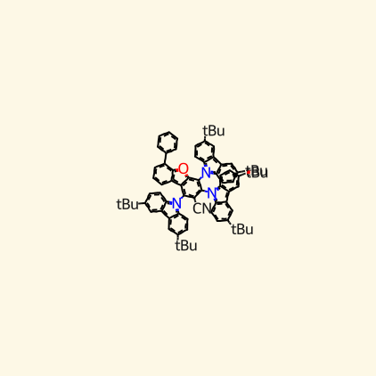 CC(C)(C)c1ccc2c(c1)c1cc(C(C)(C)C)ccc1n2-c1c(C#N)c(-n2c3ccc(C(C)(C)C)cc3c3cc(C(C)(C)C)ccc32)c2c(oc3c(-c4ccccc4)cccc32)c1-n1c2ccc(C(C)(C)C)cc2c2cc(C(C)(C)C)ccc21